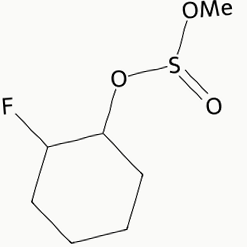 COS(=O)OC1CCCCC1F